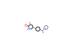 Cc1cc(-c2ccc([C@H](C)N3CCCC3)cc2)cn(C)c1=O